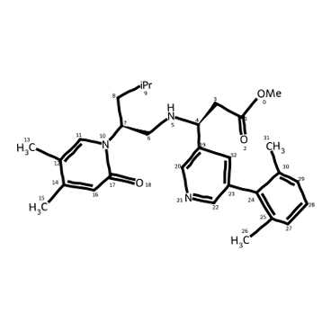 COC(=O)C[C@H](NC[C@H](CC(C)C)n1cc(C)c(C)cc1=O)c1cncc(-c2c(C)cccc2C)c1